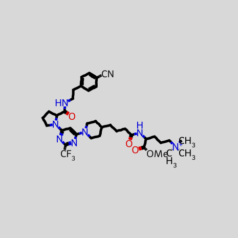 COC(=O)C(CCC[N+](C)(C)C)NC(=O)CCCC1CCN(c2cc(N3CCCC3C(=O)NCCc3ccc(C#N)cc3)nc(C(F)(F)F)n2)CC1